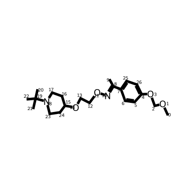 COCOc1ccc(C(C)=NOCCOC2CCN(C(C)(C)C)CC2)cc1